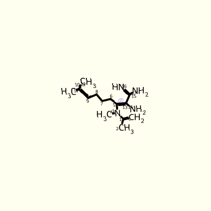 C=C(C)N(C)/C(CCCC=C(C)C)=C(\N)C(=N)N